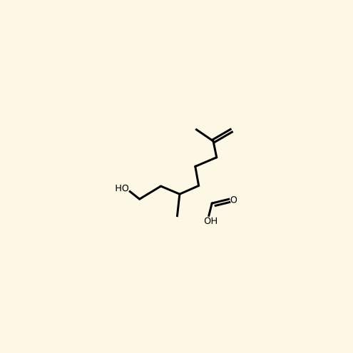 C=C(C)CCCC(C)CCO.O=CO